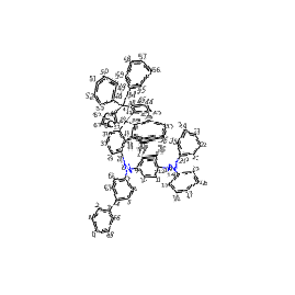 c1ccc(-c2ccc(N(c3ccc(N(c4ccccc4)c4ccccc4)cc3)c3cccc4c3-c3ccccc3C43c4ccccc4C(c4ccccc4)(c4ccccc4)c4ccccc43)cc2)cc1